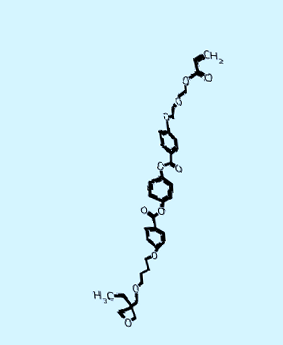 C=CC(=O)OCCOCCOc1ccc(C(=O)Oc2ccc(OC(=O)c3ccc(OCCCCOCC4(CC)COC4)cc3)cc2)cc1